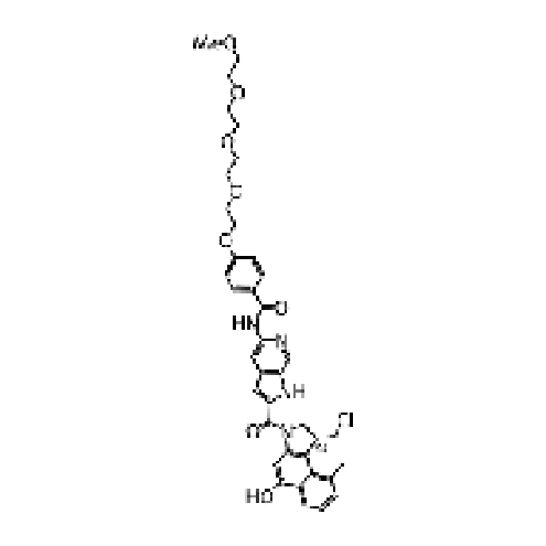 COCCOCCOCCOCCOc1ccc(C(=O)Nc2cc3cc(C(=O)N4C[C@@H](CCl)c5c4cc(O)c4cccc(C)c54)[nH]c3cn2)cc1